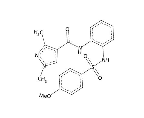 COc1ccc(S(=O)(=O)Nc2ccccc2NC(=O)c2cn(C)nc2C)cc1